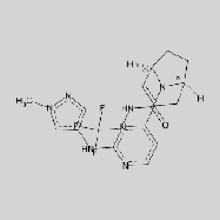 Cn1cc(Nc2nccc(C3=C[C@H]4CC[C@@H](C3)N4C(=O)NCC(F)(F)F)n2)cn1